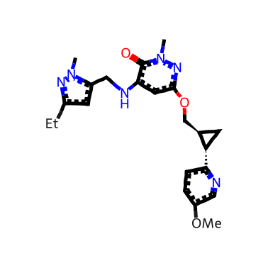 CCc1cc(CNc2cc(OC[C@H]3C[C@@H]3c3ccc(OC)cn3)nn(C)c2=O)n(C)n1